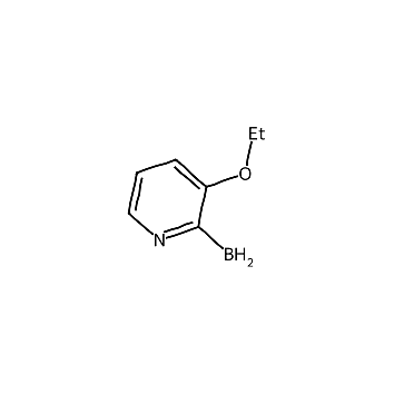 Bc1ncccc1OCC